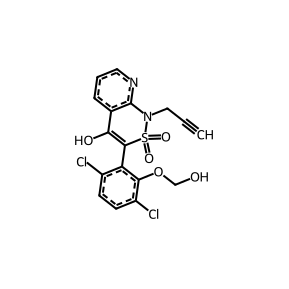 C#CCN1c2ncccc2C(O)=C(c2c(Cl)ccc(Cl)c2OCO)S1(=O)=O